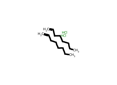 C=CCCCCCC.C=CCCCCCC.Cl.Cl